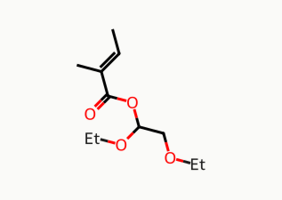 CC=C(C)C(=O)OC(COCC)OCC